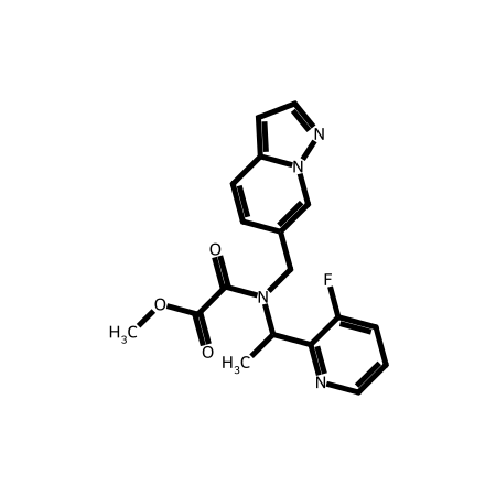 COC(=O)C(=O)N(Cc1ccc2ccnn2c1)C(C)c1ncccc1F